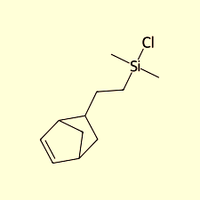 C[Si](C)(Cl)CCC1CC2C=CC1C2